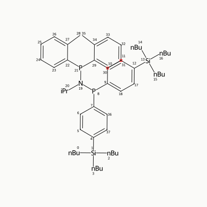 CCCC[Si](CCCC)(CCCC)c1ccc(P(c2ccc([Si](CCCC)(CCCC)CCCC)cc2)N(C(C)C)P(c2ccccc2C)c2ccccc2C)cc1